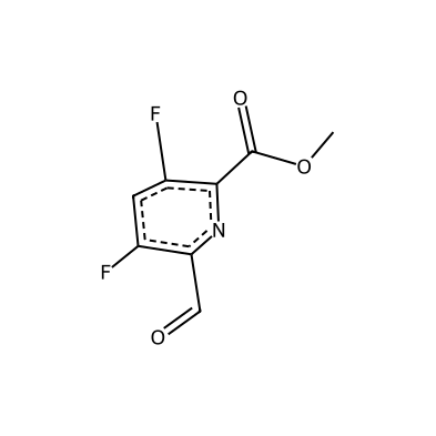 COC(=O)c1nc(C=O)c(F)cc1F